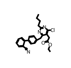 CCCCc1nc(Cl)c(CC(=O)OCC)c(Cc2ccc(-c3ccccc3C#N)cc2)n1